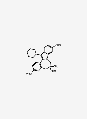 COc1ccc2c(c1)C[C@](C)(C=O)Cn1c-2c(C2CCCCC2)c2ccc(C=O)cc21